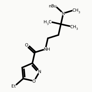 CCCCN(C)C(C)(C)CCNC(=O)c1cc(CC)on1